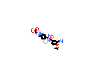 COC(=O)CNCc1ccc(-c2noc(-c3ccc(OC(C)C)c(C#N)c3)n2)c(Cl)c1